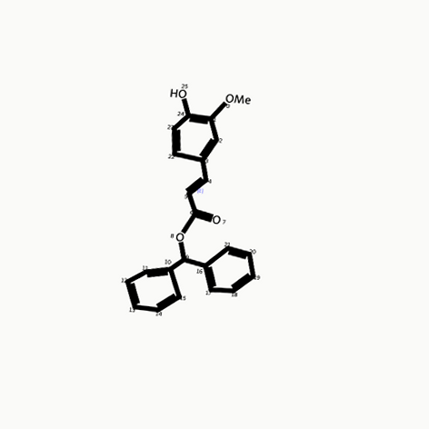 COc1cc(/C=C/C(=O)OC(c2ccccc2)c2ccccc2)ccc1O